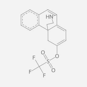 O=S(=O)(OC1=CC=C2C3=Cc4ccccc4C2(CCN3)C1)C(F)(F)F